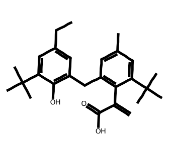 C=C(C(=O)O)c1c(Cc2cc(CC)cc(C(C)(C)C)c2O)cc(C)cc1C(C)(C)C